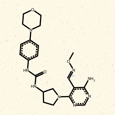 CO/N=C/c1c(N)ncnc1N1CCC(NC(=O)Nc2ccc(N3CCOCC3)cc2)C1